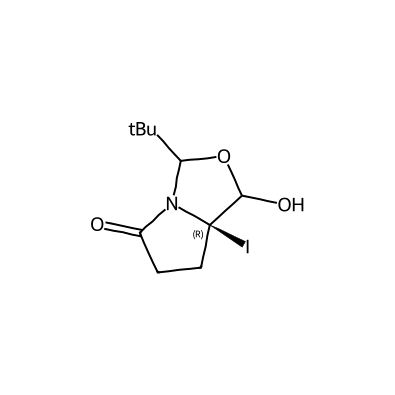 CC(C)(C)C1OC(O)[C@]2(I)CCC(=O)N12